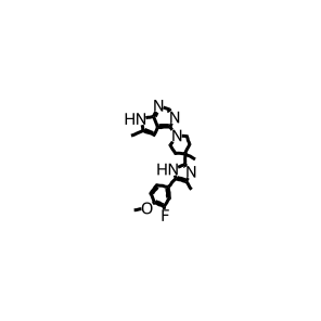 COc1ccc(-c2[nH]c(C3(C)CCN(c4ncnc5[nH]c(C)cc45)CC3)nc2C)cc1F